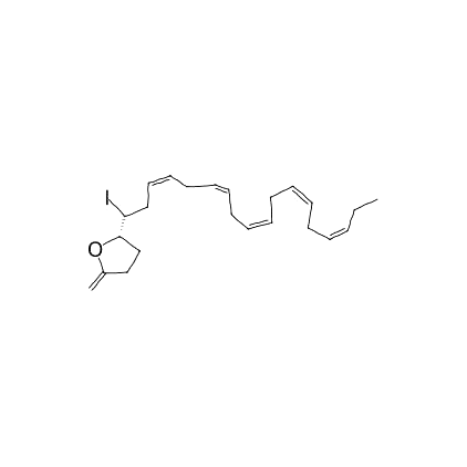 C=C1CC[C@@H](C(I)C/C=C\C/C=C\C/C=C\C/C=C\C/C=C\CC)O1